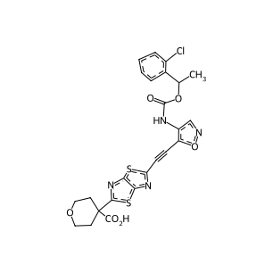 CC(OC(=O)Nc1cnoc1C#Cc1nc2sc(C3(C(=O)O)CCOCC3)nc2s1)c1ccccc1Cl